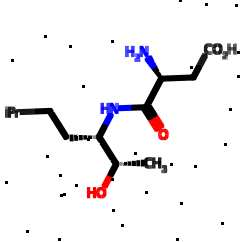 CC(C)CC[C@H](NC(=O)[C@@H](N)CC(=O)O)[C@H](C)O